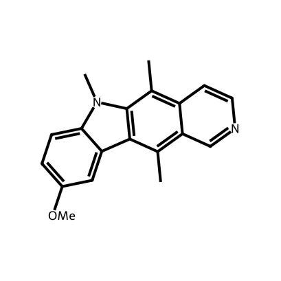 COc1ccc2c(c1)c1c(C)c3cnccc3c(C)c1n2C